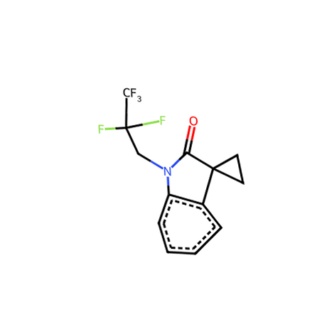 O=C1N(CC(F)(F)C(F)(F)F)c2ccccc2C12CC2